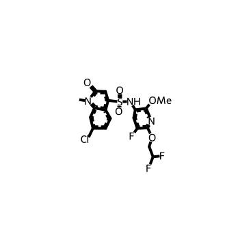 COc1nc(OCC(F)F)c(F)cc1NS(=O)(=O)c1cc(=O)n(C)c2cc(Cl)ccc12